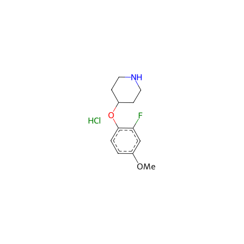 COc1ccc(OC2CCNCC2)c(F)c1.Cl